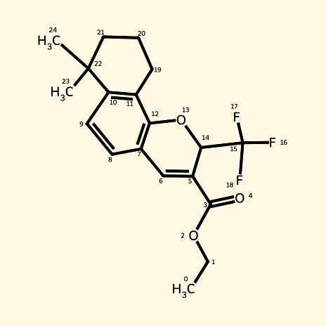 CCOC(=O)C1=Cc2ccc3c(c2OC1C(F)(F)F)CCCC3(C)C